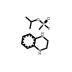 CC(C)OP(C)(=O)F.c1ccc2c(c1)NCCN2